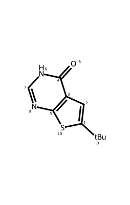 CC(C)(C)c1cc2c(=O)[nH]cnc2s1